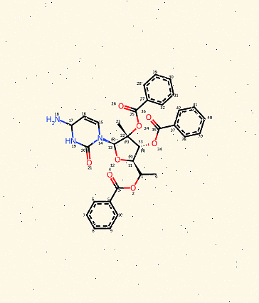 CC(OC(=O)c1ccccc1)[C@H]1O[C@@H](N2C=CC(N)NC2=O)[C@](C)(OC(=O)c2ccccc2)[C@@H]1OC(=O)c1ccccc1